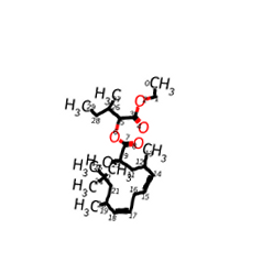 CCOC(=O)C(OC(=O)C(C)CC(C)/C=C\C/C=C\C(C)CC(C)(C)C)C(C)CC